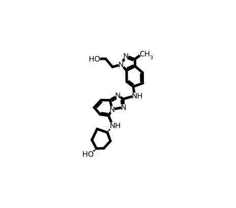 Cc1nn(CCO)c2cc(Nc3nc4cccc(N[C@H]5CC[C@@H](O)CC5)n4n3)ccc12